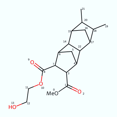 COC(=O)C1C2CC(C1C(=O)OCCO)C1C3CC(C(C)C3C)C21